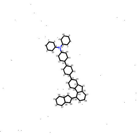 C1CCC(N(C2CCCCC2)C2CCC(C3CCC(C4CCC5C(C4)CC4CCCC(C6CC7CCCCC7C6)C45)CC3)CC2)CC1